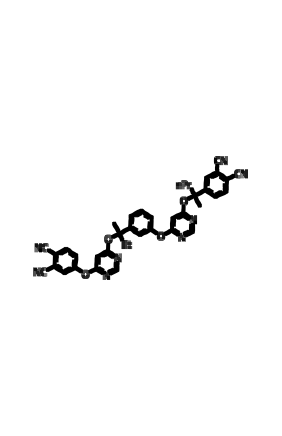 CCCC(C)(Oc1cc(Oc2cccc(C(C)(CC)Oc3cc(Oc4ccc(C#N)c(C#N)c4)ncn3)c2)ncn1)c1ccc(C#N)c(C#N)c1